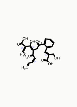 C=C/C=C\C(=C)/C(CC(=C)c1ccccc1/C=C(\CO)C(=O)O)=C(O)\C(=C/C)C(=O)O